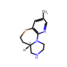 Cc1cnc2c(c1)SCC[C@H]1CNCCN21